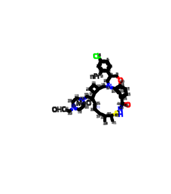 CCCc1cc(Cl)ccc1C1COc2ccc3cc2N(C1)CC1CCC1C(CN1CCN(CC=O)CC1)(OC)/C=C/CC(C)C(C)SNC3=O